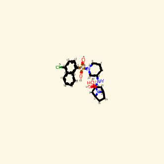 O=C(NC1CCCN(S(=O)(=O)c2ccc(Cl)c3ccccc23)C1)N1C2CCC1CC(O)C2